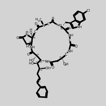 CN1CC(=O)N[C@H](Cc2c[nH]c3cc(Cl)ccc23)C(=O)NCC(=O)NC[C@H](O)CC(=O)N[C@H]([C@H](O)[C@@H](O)C/C=C/c2ccccc2)[C@H](O)C(=O)N[C@@H]2CC(=O)N[C@@]2(O)CC1=O